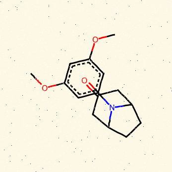 COc1cc(OC)cc(N2C3CCC2CC(=O)C3)c1